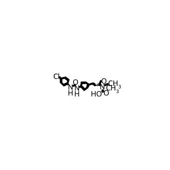 CC1(C)OC[C@H](C=Cc2ccc(NC(=O)Nc3ccc(Cl)cc3)cc2)N1C(=O)O